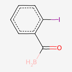 BC(=O)c1ccccc1I